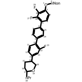 CCCCCCCCCOc1ccc(-c2ccc(-c3ccc(C4CCC(CCC)OC4)cc3F)cc2)c(F)c1F